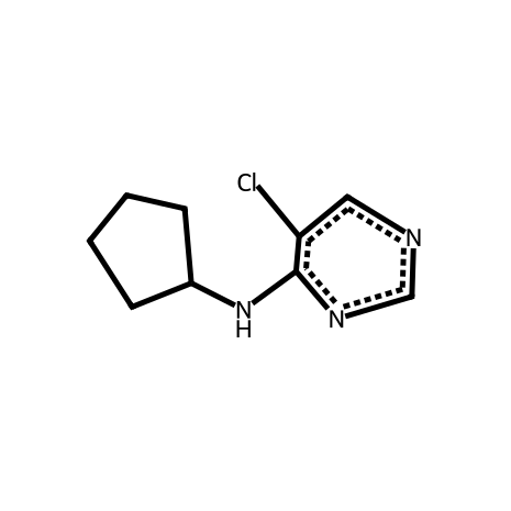 Clc1cncnc1NC1CCCC1